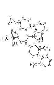 Cc1cccnc1[C@@H]1CCC[C@H](c2nc3cccc(N4CCN(C5CC5)CC4)c3n2COCC[Si](C)(C)C)N1C